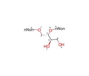 CCCCCCCCCOC[C@H](OCCCCCCCCC)[C@H](O)CO